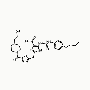 CCCCc1ccc(NC(=O)Nc2[nH]c(Cc3ccc(C(=O)N4CCC(CCO)CC4)o3)nc2C(N)=O)cc1